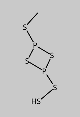 CSP1SP(SS)S1